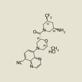 C[C@@H]1CN(c2ccc(C#N)c3nccnc23)C[C@H](C(=O)N2C[C@H](N)C[C@H](C(F)(F)F)C2)O1.Cl